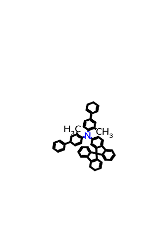 CC1=C(N(c2ccc3c(c2)C2(C4=C(CCC=C4)c4ccccc42)c2ccccc2-3)c2ccc(C3=CCCC=C3)cc2C)C=CC(c2ccccc2)C1